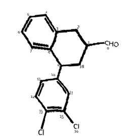 O=CC1Cc2ccccc2C(c2ccc(Cl)c(Cl)c2)C1